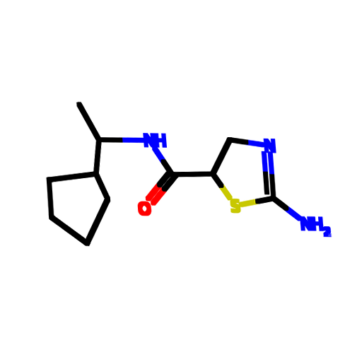 CC(NC(=O)C1CN=C(N)S1)C1CCCC1